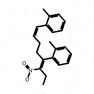 CC/C(=C(/CC/C=C\c1ccccc1C)c1ccccc1C)[N+](=O)[O-]